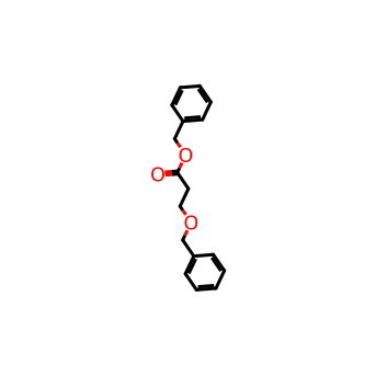 O=C(CCOCc1ccccc1)OCc1ccccc1